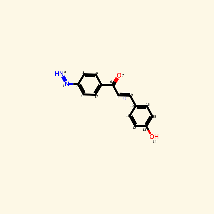 N=Nc1ccc(C(=O)/C=C/c2ccc(O)cc2)cc1